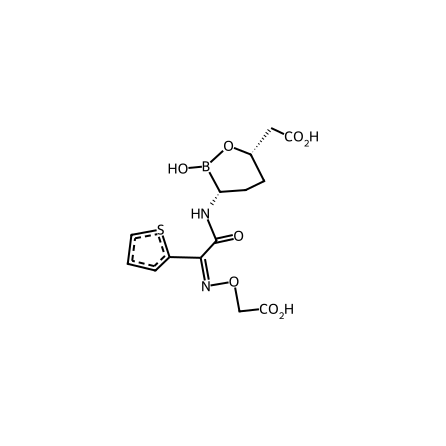 O=C(O)CO/N=C(\C(=O)N[C@H]1CC[C@@H](CC(=O)O)OB1O)c1cccs1